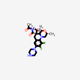 CC(=O)NC(=O)[C@]1(C(C)=O)Cc2cc(N3CCNCC3)c(F)c(F)c2N2C[C@@H](C)O[C@@H](C)[C@@H]21